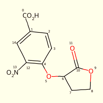 O=C(O)c1ccc(OC2CCOC2=O)c([N+](=O)[O-])c1